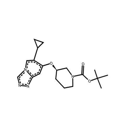 CC(C)(C)OC(=O)N1CCC[C@@H](Oc2cc3nncn3cc2C2CC2)C1